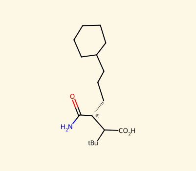 CC(C)(C)C(C(=O)O)[C@@H](CCCC1CCCCC1)C(N)=O